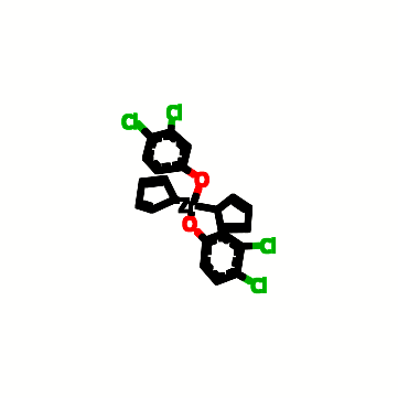 Clc1ccc([O][Zr]([O]c2ccc(Cl)c(Cl)c2)([CH]2C=CC=C2)[CH]2C=CC=C2)cc1Cl